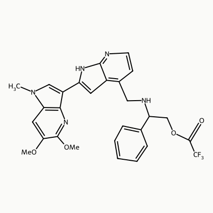 COc1cc2c(nc1OC)c(-c1cc3c(CNC(COC(=O)C(F)(F)F)c4ccccc4)ccnc3[nH]1)cn2C